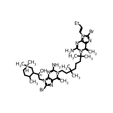 C=C1c2nc(Br)n(C[C@H](O)C3C[PH](C)(C)CCC3C)c2N=C(N)N1CCC(C)(C)CCCC(C)(C)N1C(=C)c2nc(Br)n(C=CCC)c2N=C1N